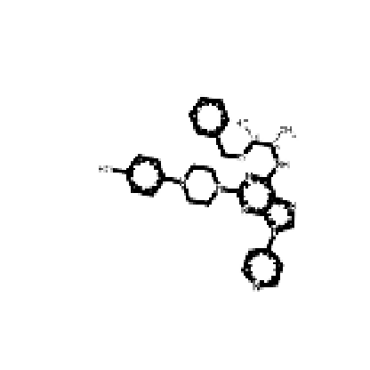 C[C@H](Nc1nc(N2CCN(c3ccc(O)cc3)CC2)nc2c1ncn2-c1ccncc1)[C@@H](O)OCc1ccccc1